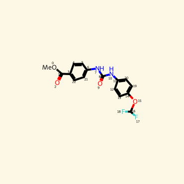 COC(=O)c1ccc(NC(=O)Nc2ccc(OC(F)F)cc2)cc1